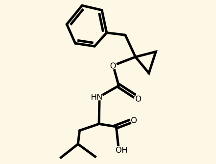 CC(C)CC(NC(=O)OC1(Cc2ccccc2)CC1)C(=O)O